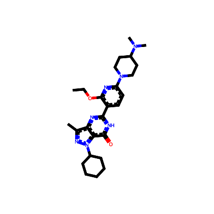 CCOc1nc(N2CCC(N(C)C)CC2)ccc1-c1nc2c(C)nn(C3CCCCC3)c2c(=O)[nH]1